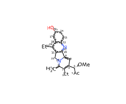 C=C1C(CC)=C([C@H](OC)C(C)=O)C=C2c3nc4ccc(O)cc4c(CC)c3CN12